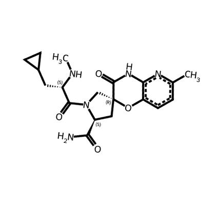 CN[C@@H](CC1CC1)C(=O)N1C[C@@]2(C[C@H]1C(N)=O)Oc1ccc(C)nc1NC2=O